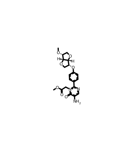 COC(=O)Cn1c(-c2ccc(O[C@@H]3CO[C@H]4[C@@H]3OC[C@H]4OC)cc2)ncc(N)c1=O